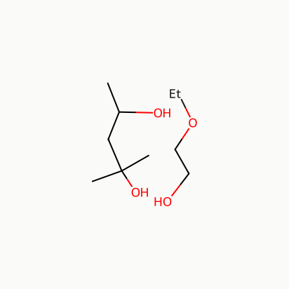 CC(O)CC(C)(C)O.CCOCCO